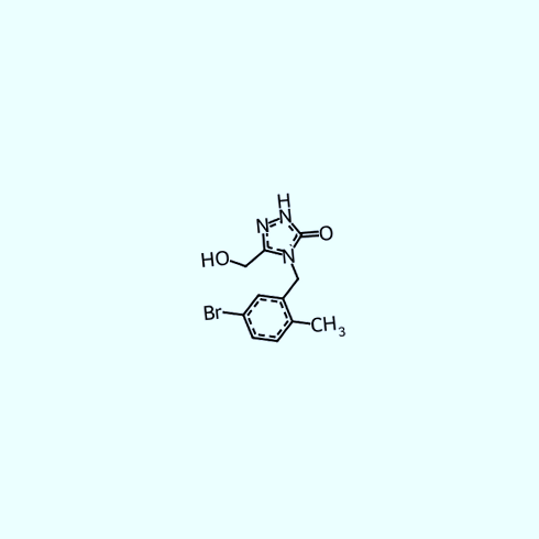 Cc1ccc(Br)cc1Cn1c(CO)n[nH]c1=O